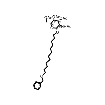 CC(=O)N[C@H]1[C@H](OCCCCCCCCCCCCOCc2ccccc2)O[C@H](COC(C)=O)[C@H](OC(C)=O)[C@@H]1OC(C)=O